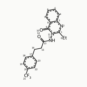 CCc1nc2ccccc2c(=O)n1NC(=O)CCc1ccc(C(F)(F)F)cc1